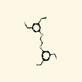 ICc1cc(CI)cc(OCCOc2cc(CI)cc(CI)c2)c1